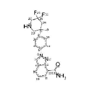 CC1(c2ccc(-n3cc4cccc(C(N)=O)c4n3)cc2)CNCC(F)(F)C1